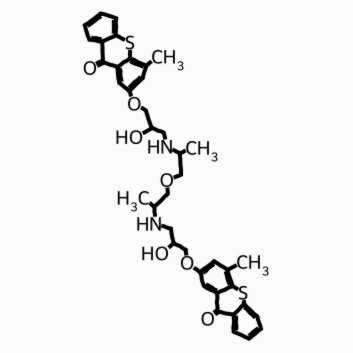 Cc1cc(OCC(O)CNC(C)COCC(C)NCC(O)COc2cc(C)c3sc4ccccc4c(=O)c3c2)cc2c(=O)c3ccccc3sc12